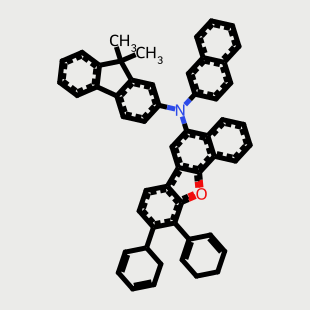 CC1(C)c2ccccc2-c2ccc(N(c3ccc4ccccc4c3)c3cc4c5ccc(C6C=CC=CC6)c(C6=CCCC=C6)c5oc4c4ccccc34)cc21